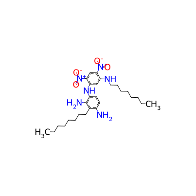 CCCCCCCCNc1cc(Nc2ccc(N)c(CCCCCCCC)c2N)c([N+](=O)[O-])cc1[N+](=O)[O-]